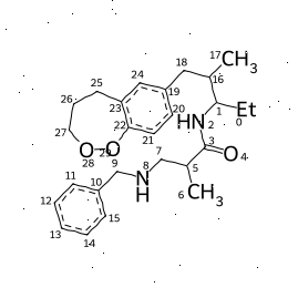 CCC(NC(=O)C(C)CNCc1ccccc1)C(C)Cc1ccc2c(c1)CCCOO2